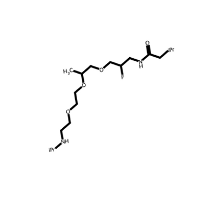 CC(C)CC(=O)NCC(F)COCC(C)OCCOCCNC(C)C